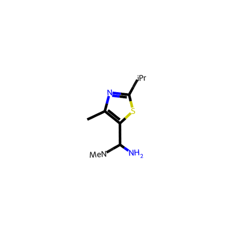 CNC(N)c1sc(C(C)C)nc1C